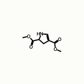 COC(=O)C1=CNC(C(=O)OC)C1